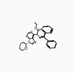 CCOC(=O)C(N=C(c1ccccc1)c1ccccc1)c1ncnc2c1ncn2[C@H]1CCCCO1